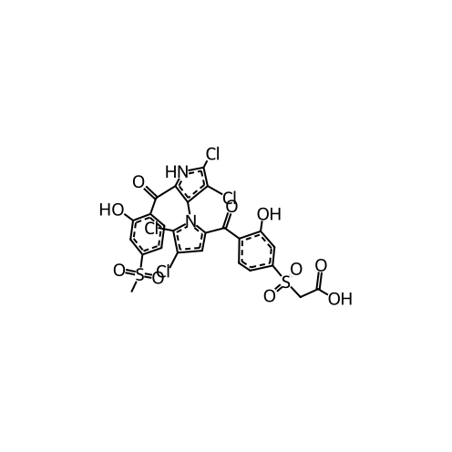 CS(=O)(=O)c1ccc(C(=O)c2[nH]c(Cl)c(Cl)c2-n2c(C(=O)c3ccc(S(=O)(=O)CC(=O)O)cc3O)cc(Cl)c2Cl)c(O)c1